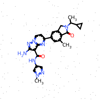 Cc1cc(-c2ccn3nc(N)c(C(=O)Nc4cnn(C)c4)c3n2)cc2c1C(=O)N(C(C)C1CC1)C2